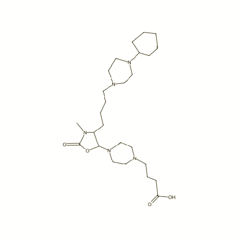 CN1C(=O)OC(N2CCN(CCCC(=O)O)CC2)C1CCCCN1CCN(C2CCCCC2)CC1